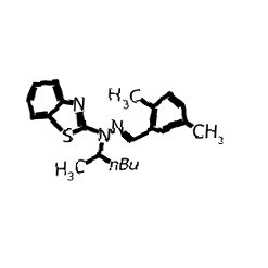 CCCCC(C)N(/N=C/c1cc(C)ccc1C)c1nc2ccccc2s1